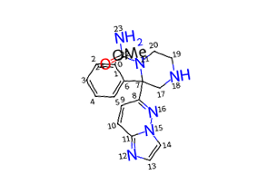 COc1ccccc1C1(c2ccc3nccn3n2)CNCCN1C(N)=O